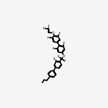 CCCc1ccc(-c2ccc(C(F)(F)Oc3cc(F)c(-c4cc(F)c(OC=C(F)F)c(F)c4)c(F)c3)c(F)c2)cc1